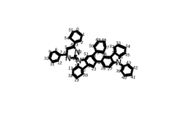 c1ccc(-c2cc(-c3ccccc3)nc(-n3c4ccccc4c4cc(-c5ccc6c(c5)c5ccccc5n6-c5ccccc5)c(-c5ccccc5)cc43)n2)cc1